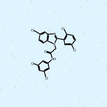 O=C(Cn1c(-c2cc(Cl)ccc2Cl)nc2cc(Cl)ccc21)Nc1cc(Cl)cc(Cl)c1